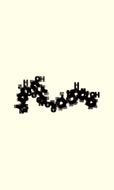 Cc1ncsc1-c1ccc([C@H](C)NC(=O)[C@@H]2C[C@@H](O)CN2C(=O)[C@@H](c2cc(OCC(=O)N3CC[C@H](N4CCN5c6cc(-c7ccccc7O)nnc6NC[C@@H]5C4)[C@H](C)C3)no2)C(C)C)cc1